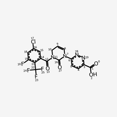 O=C(O)c1ccc(N2C=CCN(C(=O)c3cc(Cl)cc(F)c3C(F)(F)F)C2=O)nn1